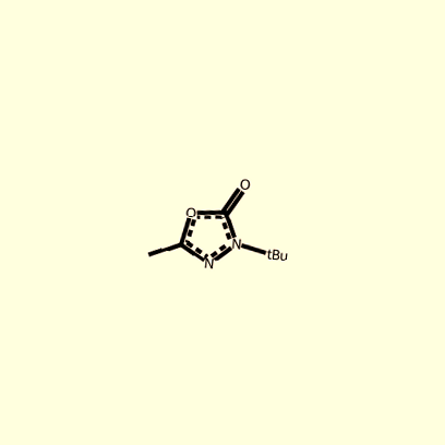 Cc1nn(C(C)(C)C)c(=O)o1